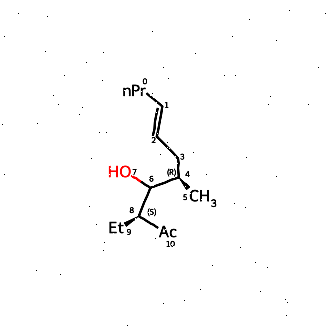 CCCC=CC[C@@H](C)C(O)[C@H](CC)C(C)=O